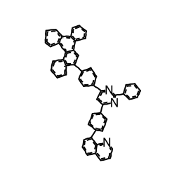 c1ccc(-c2nc(-c3ccc(-c4cc5c6ccccc6c6ccccc6c5c5ccccc45)cc3)cc(-c3ccc(-c4cccc5cccnc45)cc3)n2)cc1